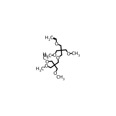 C=COCC(COC)(COC)COCC(COC)(COC)COC